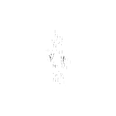 C[C@@H]1[C@@H]2NP(=O)(S)OC[C@H]3O[C@@H](n4cnc5c(N)ncnc54)[C@H](O)[C@@H]3NP(=O)(S)OC[C@H]2O[C@H]1n1cnc2c(N)ncnc21